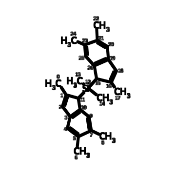 CC1=Cc2cc(C)c(C)cc2C1[Si](C)(C)C1C(C)=Cc2cc(C)c(C)cc21